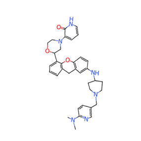 CN(C)c1ccc(CN2CCC(Nc3ccc4c(c3)Cc3cccc(C5CN(c6ccc[nH]c6=O)CCO5)c3O4)CC2)cn1